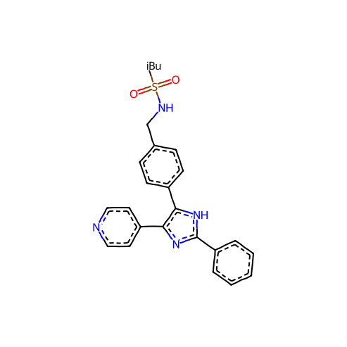 CCC(C)S(=O)(=O)NCc1ccc(-c2[nH]c(-c3ccccc3)nc2-c2ccncc2)cc1